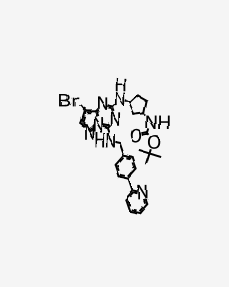 CC(C)(C)OC(=O)N[C@H]1CC[C@H](Nc2nc(NCc3ccc(-c4ccccn4)cc3)n3ncc(Br)c3n2)C1